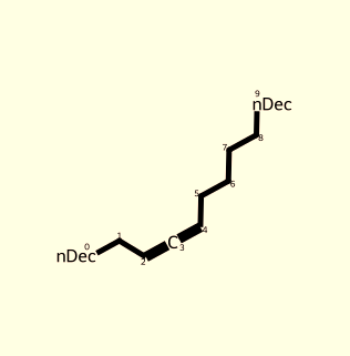 CCCCCCCCCCCC=C=CCCCCCCCCCCCCCC